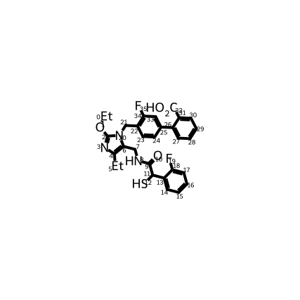 CCOc1nc(CC)c(CNC(=O)C(S)c2ccccc2F)n1Cc1ccc(-c2ccccc2C(=O)O)cc1F